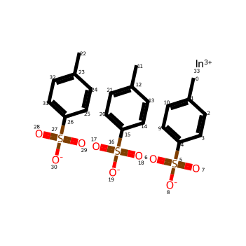 Cc1ccc(S(=O)(=O)[O-])cc1.Cc1ccc(S(=O)(=O)[O-])cc1.Cc1ccc(S(=O)(=O)[O-])cc1.[In+3]